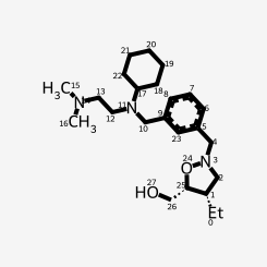 CC[C@H]1CN(Cc2cccc(CN(CCN(C)C)C3CCCCC3)c2)O[C@H]1CO